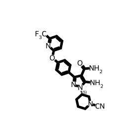 N#CN1CCC[C@H](n2nc(-c3ccc(Oc4cccc(C(F)(F)F)n4)cc3)c(C(N)=O)c2N)C1